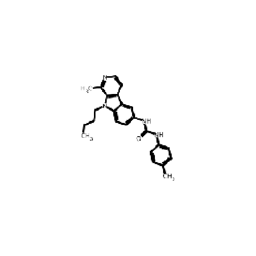 CCCCn1c2ccc(NC(=O)Nc3ccc(C)cc3)cc2c2ccnc(C)c21